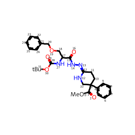 COC(=O)C1(c2ccccc2)CC/C(=N/NC(=O)C(COCc2ccccc2)NC(=O)OC(C)(C)C)NC1